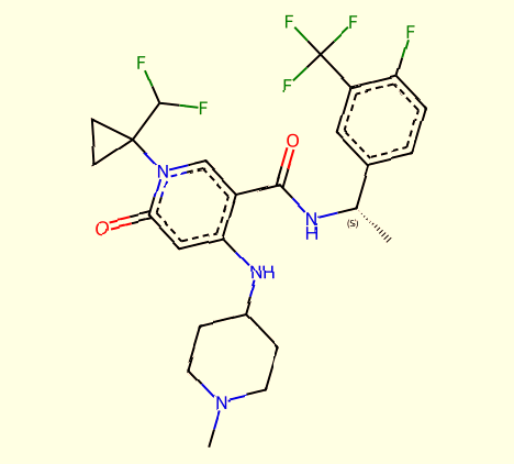 C[C@H](NC(=O)c1cn(C2(C(F)F)CC2)c(=O)cc1NC1CCN(C)CC1)c1ccc(F)c(C(F)(F)F)c1